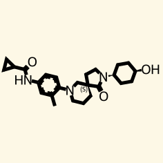 Cc1cc(NC(=O)C2CC2)ccc1N1CCC[C@]2(CCN([C@H]3CC[C@H](O)CC3)C2=O)C1